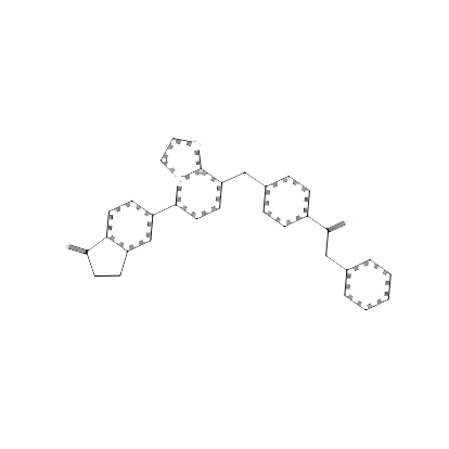 O=C(Cc1ccccc1)c1ccc(Cc2ccc(-c3ccc4c(c3)CCC4=O)n3ccnc23)cc1